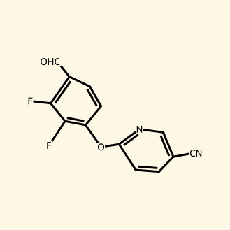 N#Cc1ccc(Oc2ccc(C=O)c(F)c2F)nc1